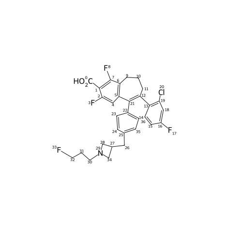 O=C(O)c1c(F)cc2c(c1F)CCCC(c1ccc(F)cc1Cl)=C2c1ccc(CC2CN(CCCF)C2)cc1